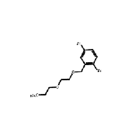 COCCOCCOCc1cc(C(C)C)ccc1C(C)C